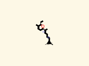 CC[C@H]1O[C@@H](/C(C)=C/C/C=C/C2[C@@H](C)[C@@H]2C)CC=C1C